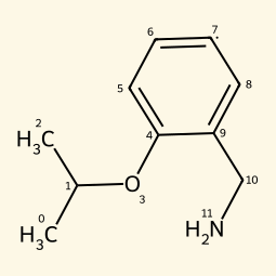 CC(C)Oc1cc[c]cc1CN